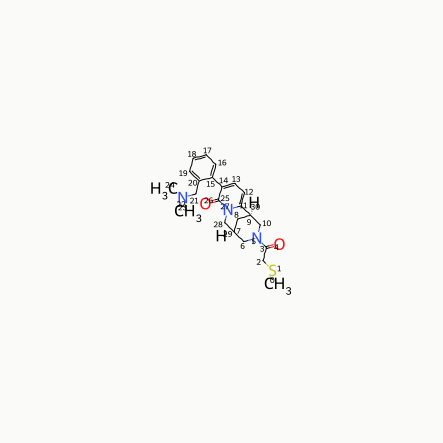 CSCC(=O)N1C[C@@H]2C[C@H](C1)c1ccc(-c3ccccc3CN(C)C)c(=O)n1C2